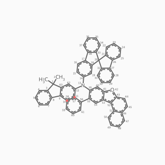 CC1(C)c2ccccc2-c2ccc(N(c3ccc4c(c3)C3(c5ccccc5-c5ccccc53)c3ccccc3-4)c3cc4oc5ccc6ccccc6c5c4cc3-c3ccccc3)cc21